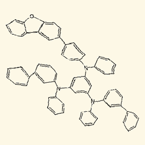 c1ccc(-c2cccc(N(c3ccccc3)c3cc(N(c4ccccc4)c4ccc(-c5ccc6oc7ccccc7c6c5)cc4)cc(N(c4ccccc4)c4cccc(-c5ccccc5)c4)c3)c2)cc1